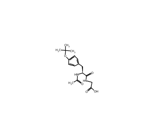 CC(=O)N[C@@H](Cc1ccc(OC(C)(C)C)cc1)C(=O)NCC(=O)O